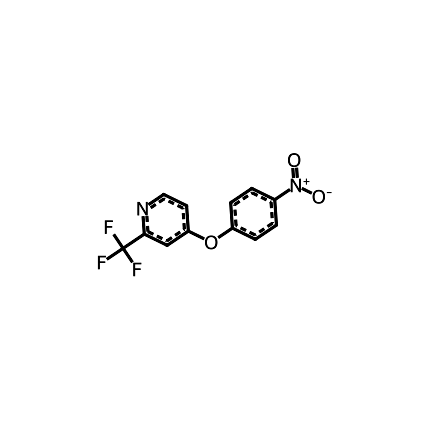 O=[N+]([O-])c1ccc(Oc2ccnc(C(F)(F)F)c2)cc1